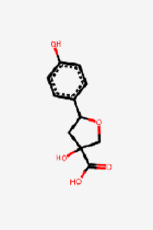 O=C(O)C1(O)COC(c2ccc(O)cc2)C1